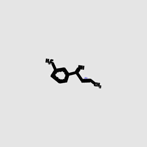 C/C=C/C(=N)c1cccc(C)c1